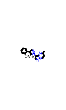 COc1ccccc1-c1cnn(-c2cnn3ccc(C)nc23)c1